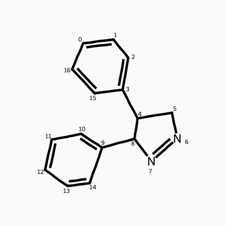 c1ccc(C2CN=NC2c2ccccc2)cc1